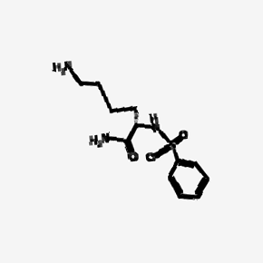 NCCCC[C@H](NS(=O)(=O)c1ccccc1)C(N)=O